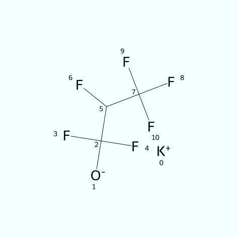 [K+].[O-]C(F)(F)C(F)C(F)(F)F